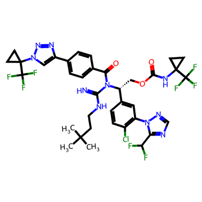 CC(C)(C)CCNC(=N)N(C(=O)c1ccc(-c2cn(C3(C(F)(F)F)CC3)nn2)cc1)[C@H](COC(=O)NC1(C(F)(F)F)CC1)c1ccc(Cl)c(-n2ncnc2C(F)F)c1